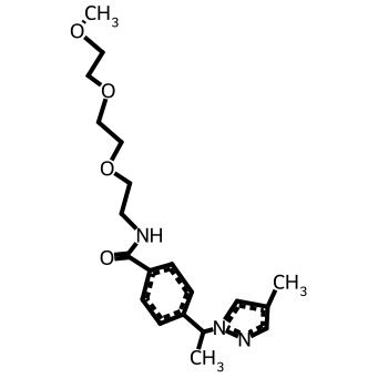 COCCOCCOCCNC(=O)c1ccc(C(C)n2cc(C)cn2)cc1